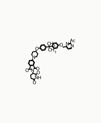 CC(=O)c1nccc(COc2ccc(C(C)(C)c3ccc(OC4CCN(c5ccc6c(c5)C(=O)N(C5CCC(=O)NC5=O)C6=O)CC4)cc3)cc2)n1